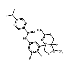 CC(F)c1cnc(C(=O)Nc2cc(F)c(F)c([C@]34CO[C@H](C(F)(F)F)[C@H]3CSC(N)=N4)c2)cn1